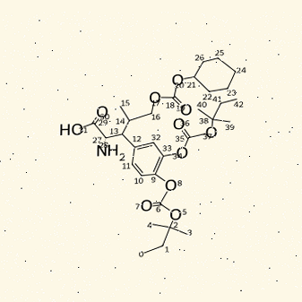 CCC(C)(C)OC(=O)Oc1ccc(C(C(C)COC(=O)OC2CCCCC2)[C@H](N)C(=O)O)cc1OC(=O)OC(C)(C)CC